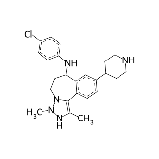 CC1=C2c3ccc(C4CCNCC4)cc3C(Nc3ccc(Cl)cc3)CCN2N(C)N1